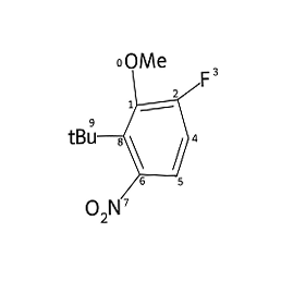 COc1c(F)ccc([N+](=O)[O-])c1C(C)(C)C